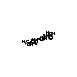 CC(O)c1cnc2c(c1)ncn2Cc1ccc2nc(N[C@@H]3CCCC[C@H]3O)sc2c1